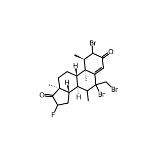 CC1[C@@H]2[C@H](CC[C@]3(C)C(=O)C(F)C[C@@H]23)[C@]2(C)C(=CC(=O)C(Br)[C@@H]2C)C1(Br)CBr